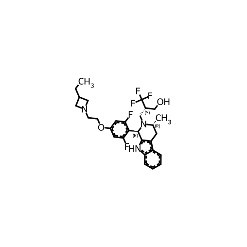 CCC1CN(CCOc2cc(F)c([C@@H]3c4[nH]c5ccccc5c4C[C@@H](C)N3C[C@@H](CO)C(F)(F)F)c(F)c2)C1